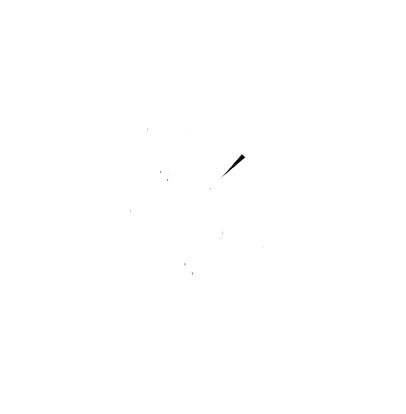 C[C@H]1C(=O)NCCN1C(=O)O